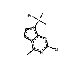 Cc1nc(Cl)nc2c1ccn2S(C)(C)C(C)(C)C